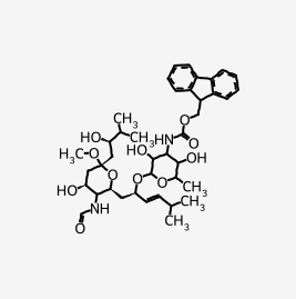 CO[C@@]1(C[C@@H](O)C(C)C)C[C@H](O)C(NC=O)[C@H](C[C@H](/C=C/C(C)C)OC2OC(C)C(O)C(NC(=O)OCC3c4ccccc4-c4ccccc43)C2O)O1